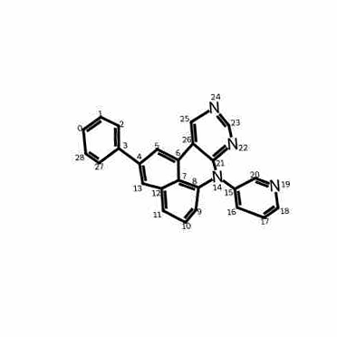 c1ccc(-c2cc3c4c(cccc4c2)N(c2cccnc2)c2ncncc2-3)cc1